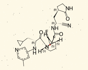 Cc1cncc(N[C@H](CC2CC2)C(=O)N2[C@H]3CC[C@@H]([C@H]2C(=O)N[C@@H](C#N)C[C@H]2CCNC2=O)C(F)(F)C3)c1